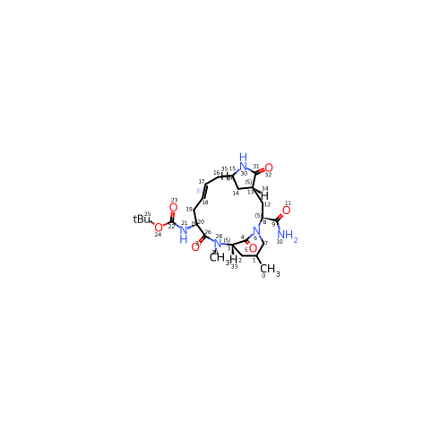 CC1C[C@H]2C(=O)N(C1)[C@H](C(N)=O)C[C@@H]1C[C@@H](C/C=C/C[C@H](NC(=O)OC(C)(C)C)C(=O)N2C)NC1=O